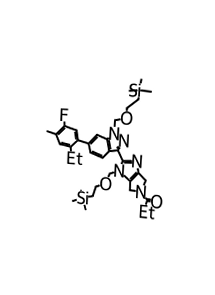 CCC(=O)N1Cc2nc(-c3nn(COCC[Si](C)(C)C)c4cc(-c5cc(F)c(C)cc5CC)ccc34)n(COCC[Si](C)(C)C)c2C1